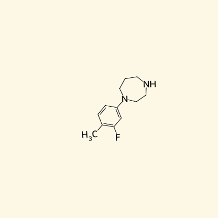 Cc1ccc(N2CCCNCC2)cc1F